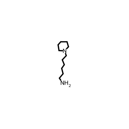 NCCCCCCN1CCCCC1